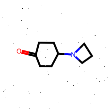 O=C1CCC(N2CCC2)CC1